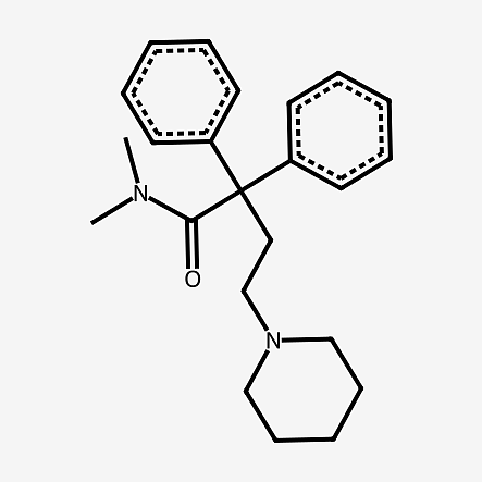 CN(C)C(=O)C(CCN1CCCCC1)(c1ccccc1)c1ccccc1